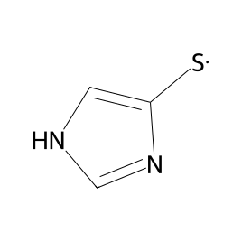 [S]c1c[nH]cn1